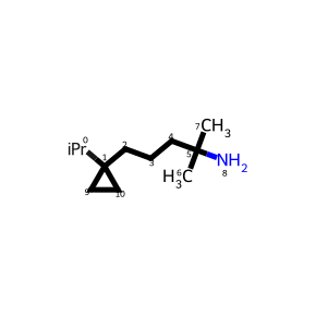 CC(C)C1(CCCC(C)(C)N)CC1